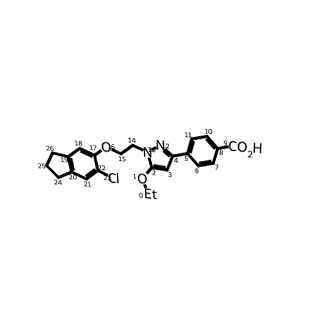 CCOc1cc(-c2ccc(C(=O)O)cc2)nn1CCOc1cc2c(cc1Cl)CCC2